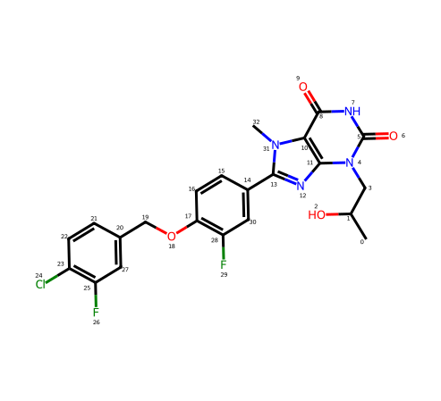 CC(O)Cn1c(=O)[nH]c(=O)c2c1nc(-c1ccc(OCc3ccc(Cl)c(F)c3)c(F)c1)n2C